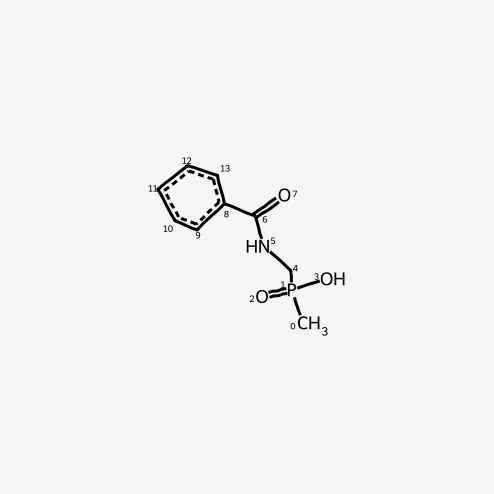 CP(=O)(O)CNC(=O)c1ccccc1